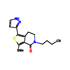 CSc1sc(-c2cc[nH]n2)c2c1C(=O)N(CCCC#N)CC2